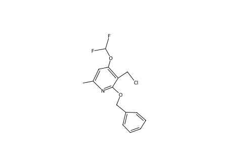 Cc1cc(OC(F)F)c(CCl)c(OCc2ccccc2)n1